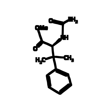 BC(=O)N[C@H](C(=O)OC)C(C)(C)c1ccccc1